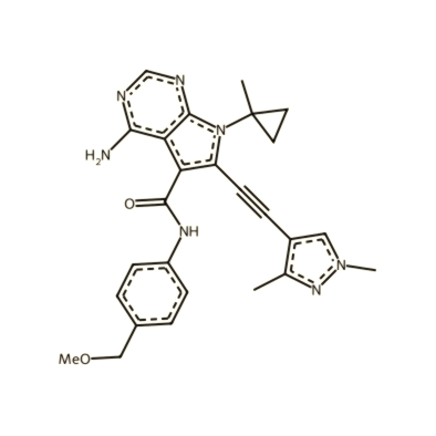 COCc1ccc(NC(=O)c2c(C#Cc3cn(C)nc3C)n(C3(C)CC3)c3ncnc(N)c23)cc1